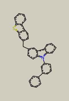 c1ccc(-c2cccc(-n3c4ccccc4c4cc(Cc5ccc6c(c5)sc5ccccc56)ccc43)c2)cc1